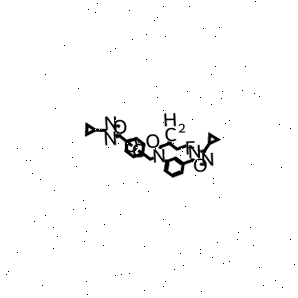 C=C(CCF)C(=O)N(CC12CCC(c3nc(C4CC4)no3)(CC1)OC2)c1cccc(-c2nc(C3CC3)no2)c1